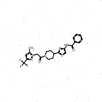 Cc1cc(C(F)(F)F)nn1CC(=O)N1CCC(c2nc(NC(=O)c3ccccc3)cs2)CC1